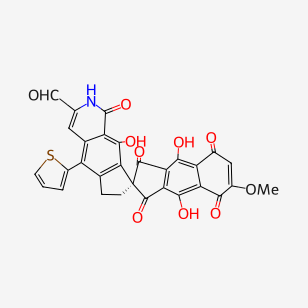 COC1=CC(=O)c2c(O)c3c(c(O)c2C1=O)C(=O)[C@]1(CCc2c1c(O)c1c(=O)[nH]c(C=O)cc1c2-c1cccs1)C3=O